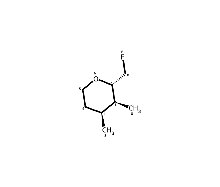 C[C@H]1[C@@H](C)CCO[C@@H]1CF